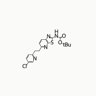 CC(C)(C)OC(=O)Nc1nc2ccc(CCc3ccc(Cl)cn3)nc2s1